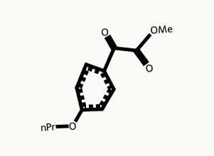 CCCOc1ccc(C(=O)C(=O)OC)cc1